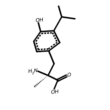 CC(C)c1cc(C[C@](C)(N)C(=O)O)ccc1O